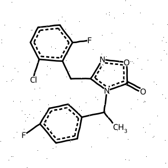 CC(c1ccc(F)cc1)n1c(Cc2c(F)cccc2Cl)noc1=O